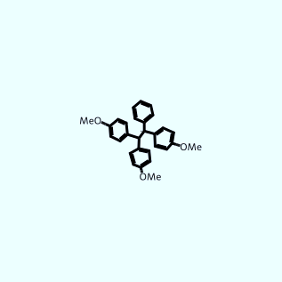 COc1ccc([C](c2ccccc2)C(c2ccc(OC)cc2)c2ccc(OC)cc2)cc1